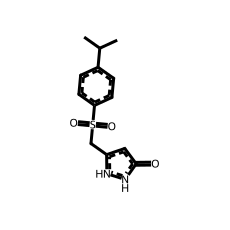 CC(C)c1ccc(S(=O)(=O)Cc2cc(=O)[nH][nH]2)cc1